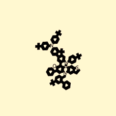 CC(C)(C)c1ccc(N2B3c4cc5sccc5cc4N(Cc4ccc(C(C)(C)C)cc4-c4ccccc4)c4cc5c(oc6ccccc65)c(c43)-c3cc4c(cc32)C(C)(C)c2cc(N(c3ccc(C(C)(C)C)cc3)c3ccc(C(C)(C)C)cc3)ccc2-4)cc1